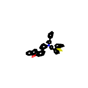 c1ccc(-c2ccc(N(c3ccc(-c4cccc5sc6ccccc6c45)cc3)c3cccc(-c4cccc5oc6c7ccccc7ccc6c45)c3)cc2)cc1